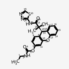 CCNC(=O)Oc1ccc2c(c1)Oc1ccccc1[C@@H]2C(C)(C)C(=O)Nc1nncs1